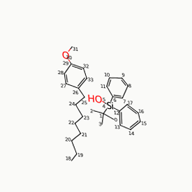 CC(C)(C)[Si](O)(c1ccccc1)c1ccccc1.CCCCCCCCc1ccc(OC)cc1